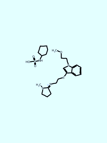 COCCn1cc(SCC/N=C2\CCCN2C)c2ccccc21.O=S(=O)(O)NC1CCCCC1